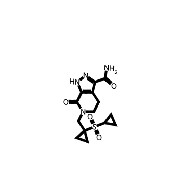 NC(=O)c1n[nH]c2c1CCN(CC1(S(=O)(=O)C3CC3)CC1)C2=O